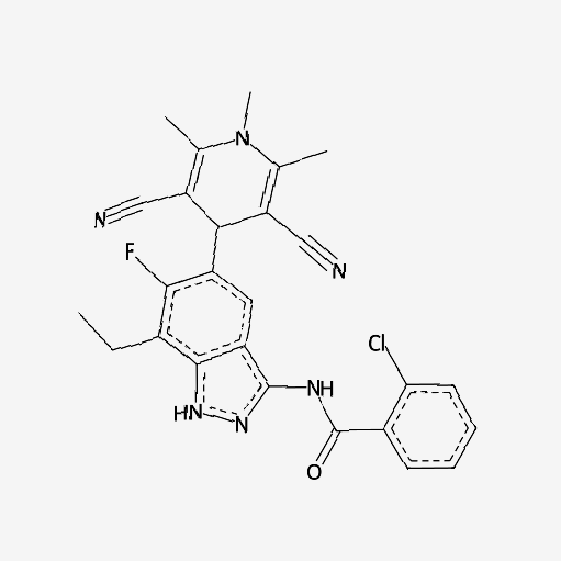 CCc1c(F)c(C2C(C#N)=C(C)N(C)C(C)=C2C#N)cc2c(NC(=O)c3ccccc3Cl)n[nH]c12